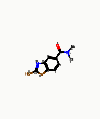 CCN(CC)C(=O)c1ccc2sc(S)nc2c1